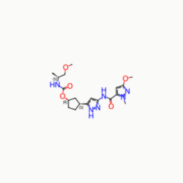 COC[C@H](C)NC(=O)O[C@@H]1CC[C@H](c2cc(NC(=O)c3cc(OC)nn3C)n[nH]2)C1